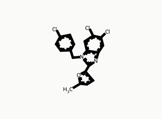 Cc1ccc(-c2nc3cc(Cl)c(Cl)cc3n2Cc2ccc(Cl)cc2)o1